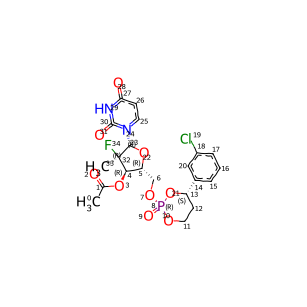 CC(=O)O[C@@H]1[C@@H](CO[P@@]2(=O)OCC[C@@H](c3cccc(Cl)c3)O2)O[C@@H](n2ccc(=O)[nH]c2=O)[C@]1(C)F